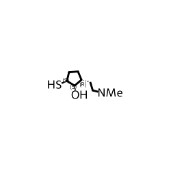 CNCC[C@H]1CC[C@H](S)[C@H]1O